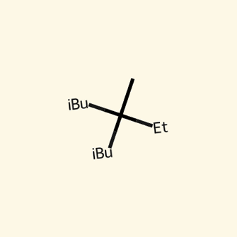 [CH2]CC(C)C(C)(CC)C(C)CC